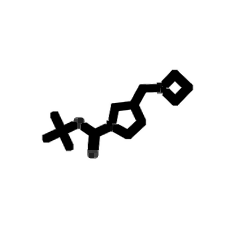 CC(C)(C)OC(=O)N1CCC(CN2CCC2)C1